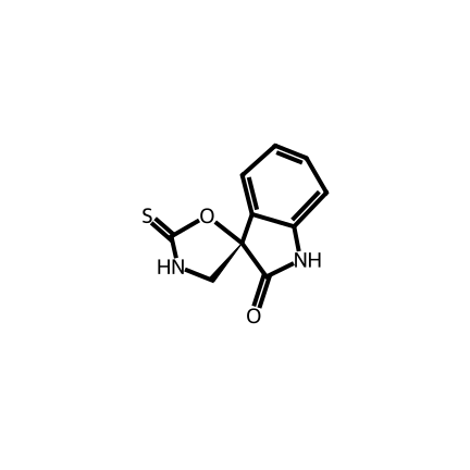 O=C1Nc2ccccc2[C@]12CNC(=S)O2